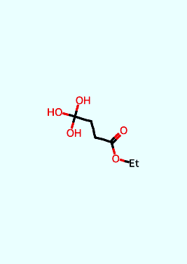 CCOC(=O)CCC(O)(O)O